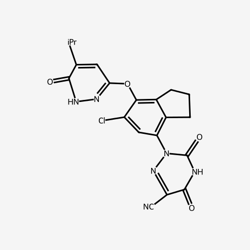 CC(C)c1cc(Oc2c(Cl)cc(-n3nc(C#N)c(=O)[nH]c3=O)c3c2CCC3)n[nH]c1=O